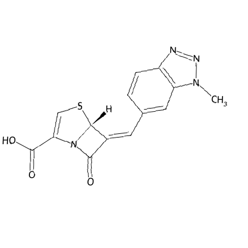 Cn1nnc2ccc(/C=C3/C(=O)N4C(C(=O)O)=CS[C@H]34)cc21